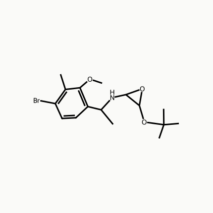 COc1c(C(C)NC2OC2OC(C)(C)C)ccc(Br)c1C